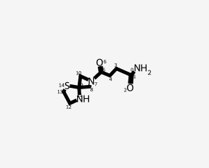 NC(=O)CCC(=O)N1CC2(C1)NCCS2